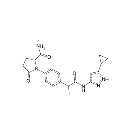 CC(C(=O)Nc1cc(C2CC2)[nH]n1)c1ccc(N2C(=O)CCC2C(N)=O)cc1